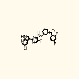 O=C(C1C=CC(F)=CC1F)N1CCC[C@H](CNc2nc(-c3c[nH]c4ncc(Cl)cc34)ncc2F)C1